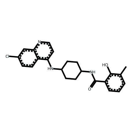 Cc1cccc(C(=O)NC2CCC(Nc3ccnc4cc(Cl)ccc34)CC2)c1O